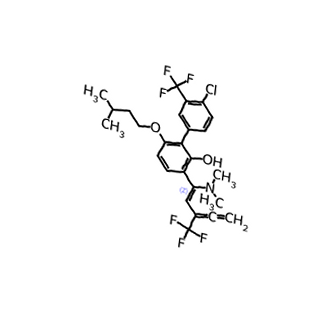 C=C=C(/C=C(/c1ccc(OCCC(C)C)c(-c2ccc(Cl)c(C(F)(F)F)c2)c1O)N(C)C)C(F)(F)F